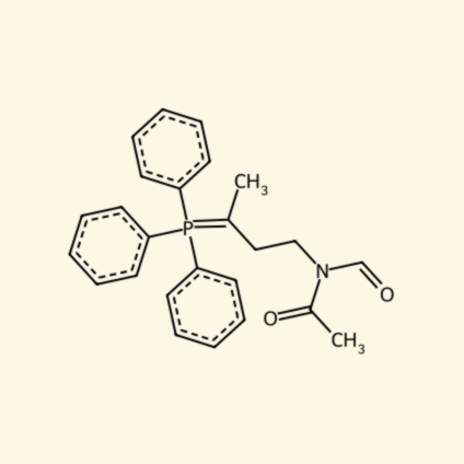 CC(=O)N(C=O)CCC(C)=P(c1ccccc1)(c1ccccc1)c1ccccc1